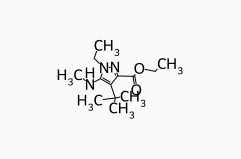 CCOC(=O)c1nn(CC)c(NC)c1C(C)(C)C